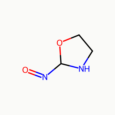 O=NC1NCCO1